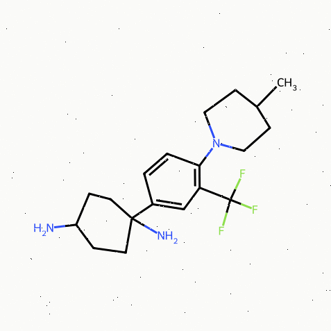 CC1CCN(c2ccc(C3(N)CCC(N)CC3)cc2C(F)(F)F)CC1